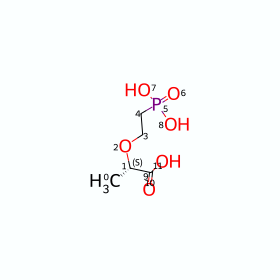 C[C@H](OCCP(=O)(O)O)C(=O)O